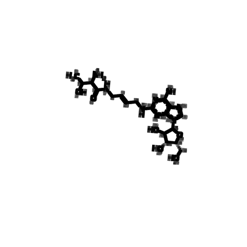 CC(O)C(N)C(=O)NC/C=C/CNc1nc(S)c2ncn(C3O[C@H](CO)[C@H](O)C3O)c2n1